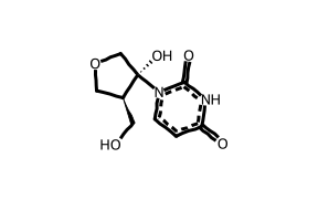 O=c1ccn([C@]2(O)COC[C@@H]2CO)c(=O)[nH]1